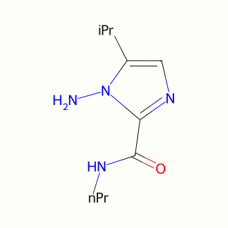 CCCNC(=O)c1ncc(C(C)C)n1N